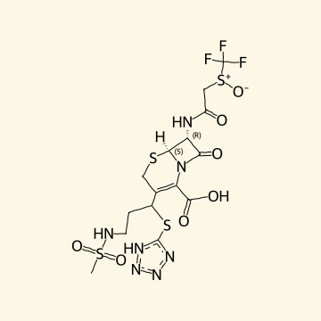 CS(=O)(=O)NCCC(Sc1nnn[nH]1)C1=C(C(=O)O)N2C(=O)[C@@H](NC(=O)C[S+]([O-])C(F)(F)F)[C@@H]2SC1